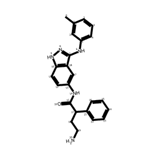 Cc1cccc(Nc2n[nH]c3ccc(NC(=O)C(CCN)c4ccccc4)cc23)c1